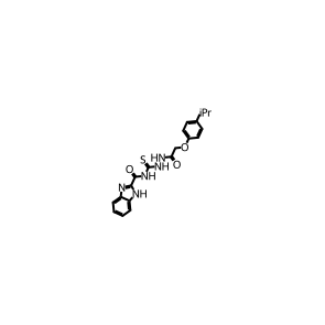 CC(C)c1ccc(OCC(=O)NNC(=S)NC(=O)c2nc3ccccc3[nH]2)cc1